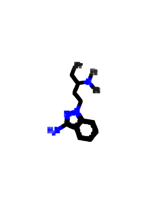 CCN(CC)C(CCn1nc(N)c2ccccc21)CC(C)C